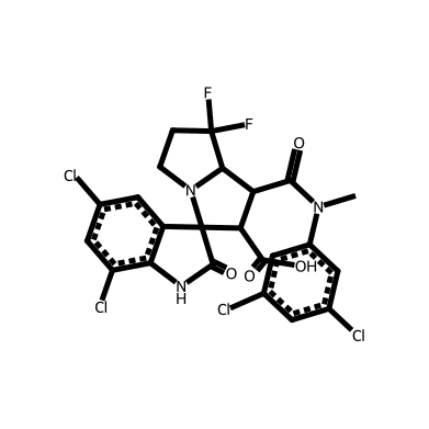 CN(C(=O)C1C2N(CCC2(F)F)C2(C(=O)Nc3c(Cl)cc(Cl)cc32)C1C(=O)O)c1cc(Cl)cc(Cl)c1